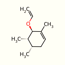 C=CO[C@H]1C(C)=CC[C@H](C)[C@@H]1C